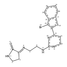 O=C1NCCC1=NCCNc1nccc(-c2sc3ccccc3c2Br)n1